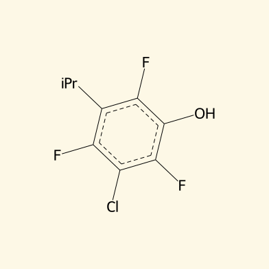 CC(C)c1c(F)c(O)c(F)c(Cl)c1F